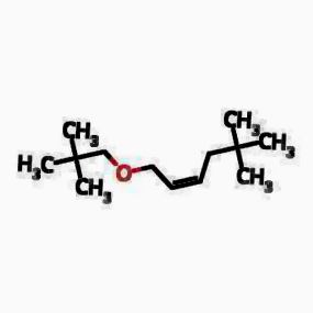 CC(C)(C)C/C=C\COCC(C)(C)C